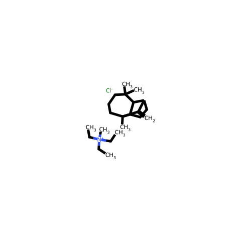 C=C1C2CCC3C2C(C)(C)CCCC13C.CC[N+](C)(CC)CC.[Cl-]